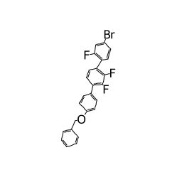 Fc1cc(Br)ccc1-c1ccc(-c2ccc(OCc3ccccc3)cc2)c(F)c1F